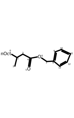 CCCCCCCCC(C)CC(=O)OCc1ccccc1